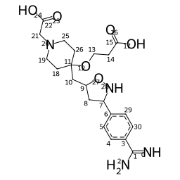 N=C(N)c1ccc(C2CC(CC3(OCCC(=O)O)CCN(CC(=O)O)CC3)ON2)cc1